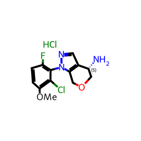 COc1ccc(F)c(-n2ncc3c2COC[C@H]3N)c1Cl.Cl